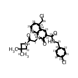 CC1(C)CN(C(=O)Cn2c(=O)c(C(=O)NCc3ccc(Cl)cc3)cc3c(CCl)ccnc32)C1